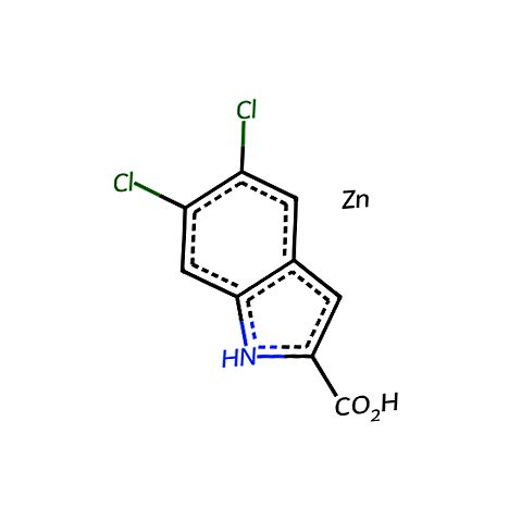 O=C(O)c1cc2cc(Cl)c(Cl)cc2[nH]1.[Zn]